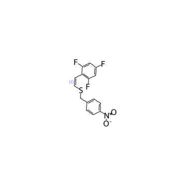 O=[N+]([O-])c1ccc(CS/C=C\c2c(F)cc(F)cc2F)cc1